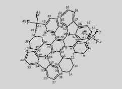 FC(F)(F)c1cccc(-c2c(C3CCCCC3)c(-n3c4ccccc4c4ccccc43)c(C3CCCCC3)c(-c3cccc(C(F)(F)F)c3)c2-n2c3ccccc3c3ccccc32)c1